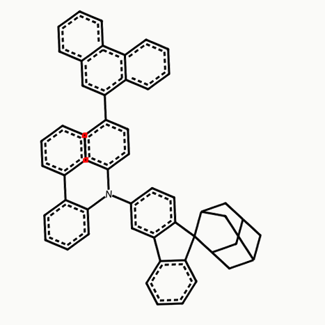 c1ccc(-c2ccccc2N(c2ccc(-c3cc4ccccc4c4ccccc34)cc2)c2ccc3c(c2)-c2ccccc2C32C3CC4CC(C3)CC2C4)cc1